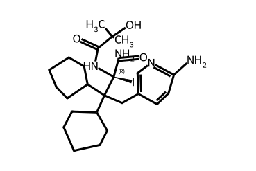 CC(C)(O)C(=O)N[C@](I)(C(N)=O)C(Cc1ccc(N)nc1)(C1CCCCC1)C1CCCCC1